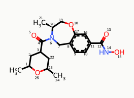 CC1CC(C(=O)N2Cc3ccc(C(=O)NO)cc3OC[C@@H]2C)CC(C)O1